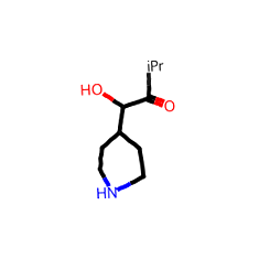 CC(C)C(=O)C(O)C1CCNCC1